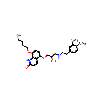 COc1ccc(CCNCC(O)COc2ccc(OCCCCO)c3[nH]c(=O)ccc23)cc1OC